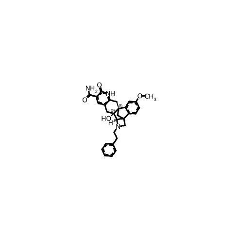 COc1ccc2c(c1)[C@@]13Cc4[nH]c(=O)c(C(N)=O)cc4C[C@@]1(O)[C@@H]1N(CCc4ccccc4)CC21C3